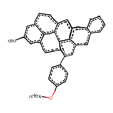 CCCCCCOc1ccc(-c2cc3cc4ccccc4c4cc5ccc6cc(C(C)(C)C)cc7cc2c(c34)c5c67)cc1